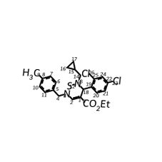 CCOC(=O)C1=CN(Cc2ccc(C)cc2)SN(CC2CC2)C1c1ccc(Cl)cc1Cl